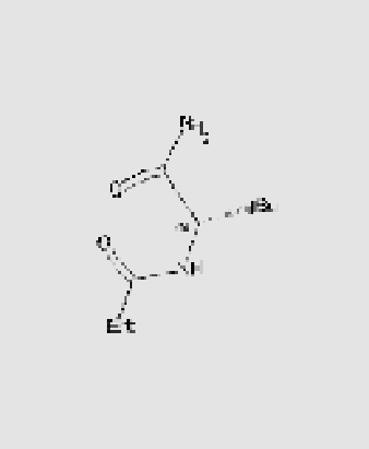 CCC(=O)N[C@H](C(N)=O)C(C)CC